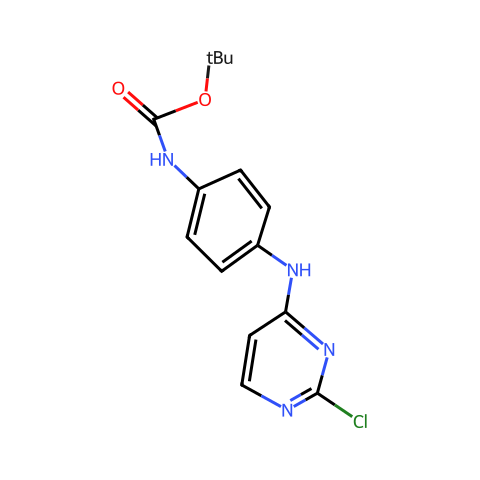 CC(C)(C)OC(=O)Nc1ccc(Nc2ccnc(Cl)n2)cc1